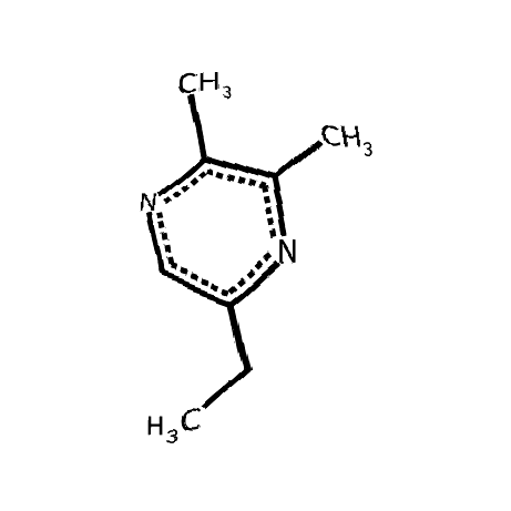 CCc1cnc(C)c(C)n1